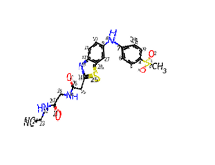 CS(=O)(=O)c1ccc(Nc2ccc3nc(CC(=O)NCC(=O)NCC#N)sc3c2)cc1